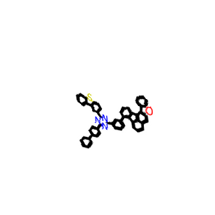 c1ccc(-c2ccc(-c3nc(-c4cccc(-c5cccc6c5-c5cccc7cc8oc9ccccc9c8c-6c57)c4)nc(-c4ccc5sc6ccccc6c5c4)n3)cc2)cc1